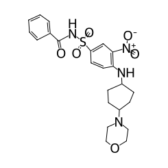 O=C(NS(=O)(=O)c1ccc(NC2CCC(N3CCOCC3)CC2)c([N+](=O)[O-])c1)c1ccccc1